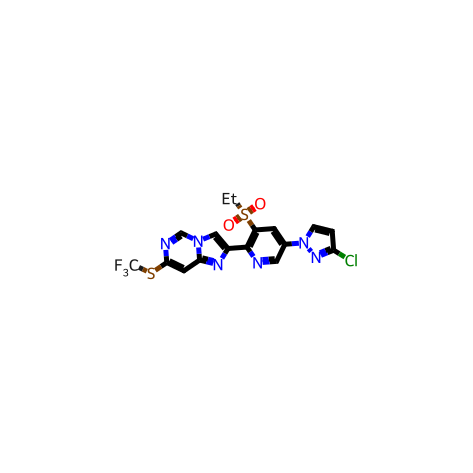 CCS(=O)(=O)c1cc(-n2ccc(Cl)n2)cnc1-c1cn2cnc(SC(F)(F)F)cc2n1